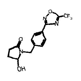 O=C1CCC(O)N1Cc1ccc(-c2noc(C(F)(F)F)n2)cc1